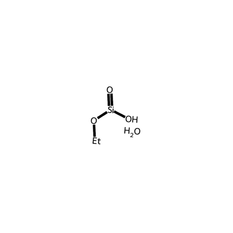 CCO[Si](=O)O.O